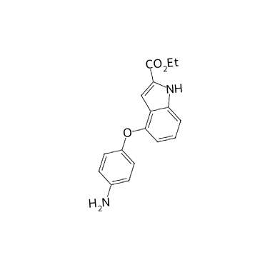 CCOC(=O)c1cc2c(Oc3ccc(N)cc3)cccc2[nH]1